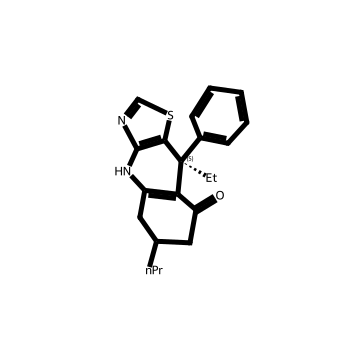 CCCC1CC(=O)C2=C(C1)Nc1ncsc1[C@@]2(CC)c1ccccc1